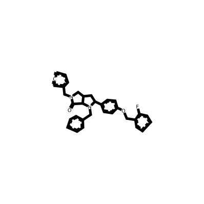 O=C1C2C(CC(c3ccc(OCc4ccccc4F)cc3)N2Cc2ccccc2)CN1Cc1ccccc1